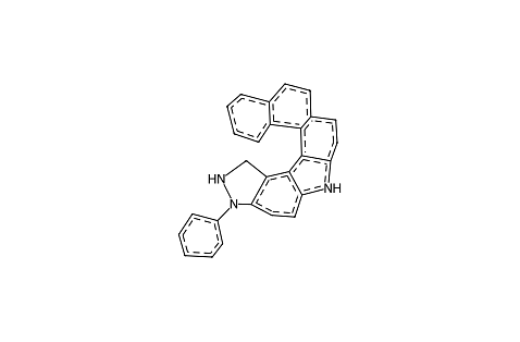 c1ccc(N2NCc3c2ccc2[nH]c4ccc5ccc6ccccc6c5c4c32)cc1